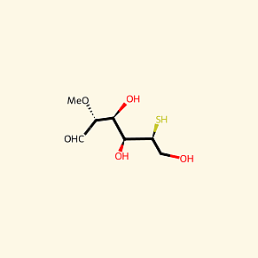 CO[C@@H](C=O)[C@@H](O)[C@H](O)[C@@H](S)CO